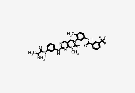 Cc1ccc(NC(=O)c2cccc(C(F)(F)F)c2)cc1N1Cc2cnc(Nc3cccc(NC(=O)C(C)N)c3)nc2N(C)C1=O